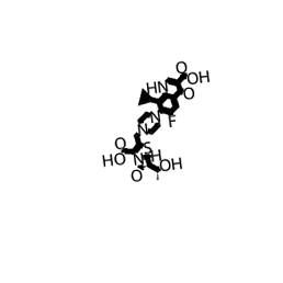 C[C@@H](O)[C@@H]1C(=O)N2C(C(=O)O)=C(CN3CCN(c4c(F)cc5c(=O)c(C(=O)O)c[nH]c5c4C4CC4)CC3)S[C@H]12